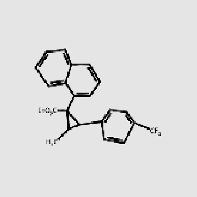 CCOC(=O)C1(c2cccc3ccccc23)C(C)C1c1ccc(C(F)(F)F)cc1